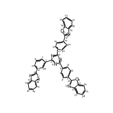 c1cc(-c2nc(-c3ccc(-c4nc5ccccc5o4)cc3)nc(-c3ccc(-c4nc5ccccc5o4)cc3)n2)cc(-c2nc3ccccc3s2)c1